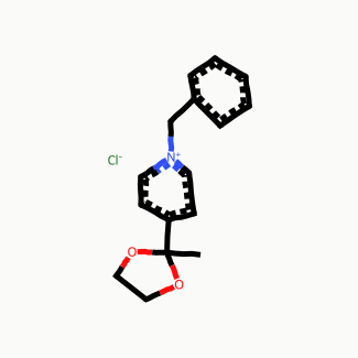 CC1(c2cc[n+](Cc3ccccc3)cc2)OCCO1.[Cl-]